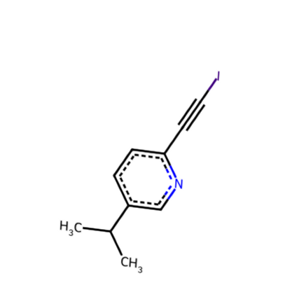 CC(C)c1ccc(C#CI)nc1